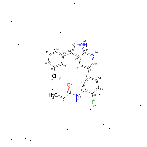 C=CC(=O)Nc1cc(-c2cnc3[nH]cc(-c4cccc(C)c4)c3c2)ccc1F